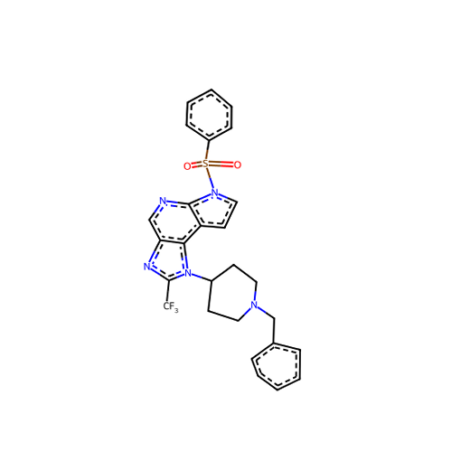 O=S(=O)(c1ccccc1)n1ccc2c1ncc1nc(C(F)(F)F)n(C3CCN(Cc4ccccc4)CC3)c12